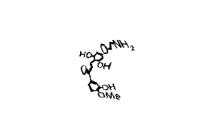 COc1ccc(C(=O)C=CC2C(O)=CC(OCCN)=CC2O)cc1O